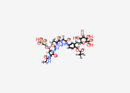 CC(C)[C@H](NC(=O)CN1C(=O)[C@@H](NC(=O)CI)C[C@H]1COCCS(=O)(=O)O)C(=O)N[C@@H](C)C(=O)Nc1ccc(COC(=O)C(C)(C)C)c(CC[C@@H]2O[C@H](C(=O)O)[C@@H](O)[C@H](O)[C@H]2O)c1